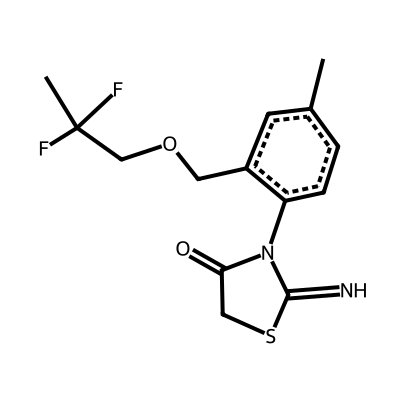 Cc1ccc(N2C(=N)SCC2=O)c(COCC(C)(F)F)c1